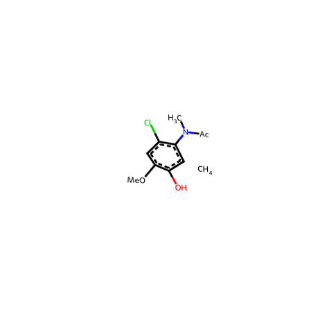 C.COc1cc(Cl)c(N(C)C(C)=O)cc1O